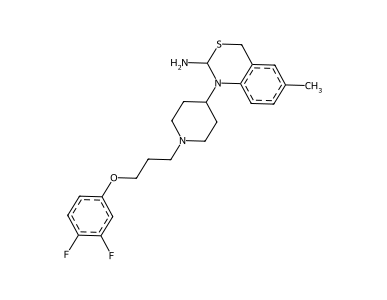 Cc1ccc2c(c1)CSC(N)N2C1CCN(CCCOc2ccc(F)c(F)c2)CC1